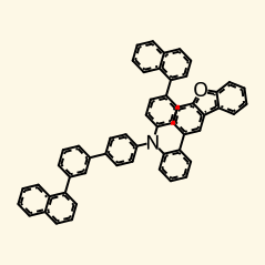 c1cc(-c2ccc(N(c3ccc(-c4cccc5ccccc45)cc3)c3ccccc3-c3ccc4oc5ccccc5c4c3)cc2)cc(-c2cccc3ccccc23)c1